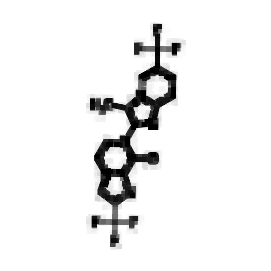 Cc1c(-n2ccn3cc(C(F)(F)F)nc3c2=O)nc2ccc(C(F)(F)F)cn12